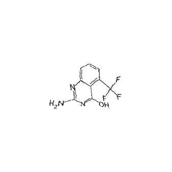 Nc1nc(O)c2c(C(F)(F)F)cccc2n1